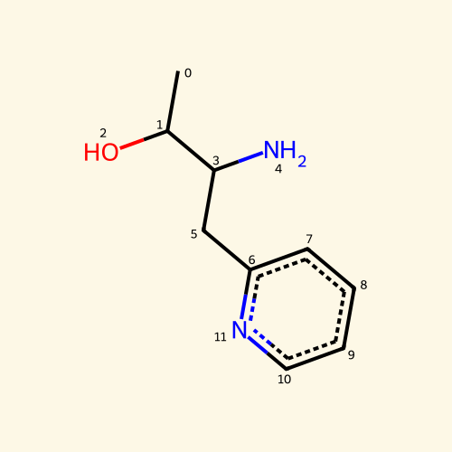 CC(O)C(N)Cc1ccccn1